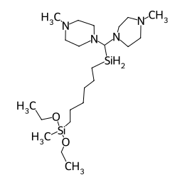 CCO[Si](C)(CCCCCC[SiH2]C(N1CCN(C)CC1)N1CCN(C)CC1)OCC